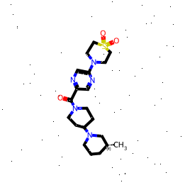 C[C@@H]1CCCN(C2CCN(C(=O)c3cnc(N4CCS(=O)(=O)CC4)cn3)CC2)C1